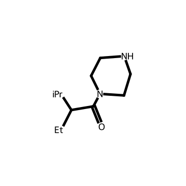 CCC(C(=O)N1CCNCC1)C(C)C